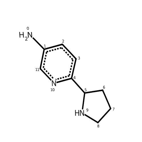 Nc1ccc(C2CCCN2)nc1